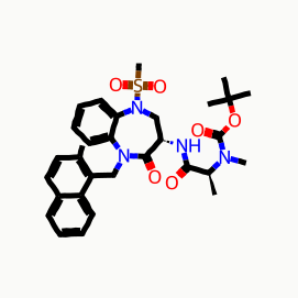 Cc1ccc2ccccc2c1CN1C(=O)[C@@H](NC(=O)[C@H](C)N(C)C(=O)OC(C)(C)C)CN(S(C)(=O)=O)c2ccccc21